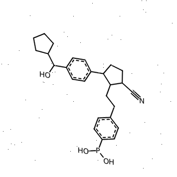 N#CC1CCC(c2ccc(C(O)C3CCCC3)cc2)C1CCc1ccc(P(O)O)cc1